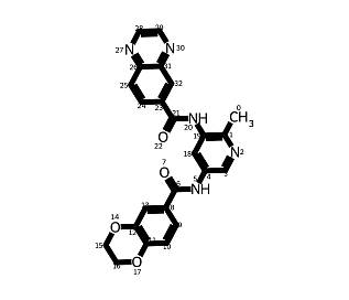 Cc1ncc(NC(=O)c2ccc3c(c2)OCCO3)cc1NC(=O)c1ccc2nccnc2c1